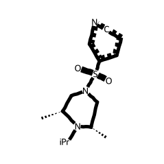 CC(C)N1[C@H](C)CN(S(=O)(=O)c2cccnc2)C[C@@H]1C